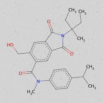 CCC(C)(CC)N1C(=O)c2cc(CO)c(C(=O)N(C)c3ccc(C(C)C)cc3)cc2C1=O